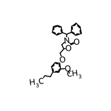 CCCc1ccc(OCC2CN(C(c3ccccc3)c3ccccc3)C(=O)O2)c(OC)c1